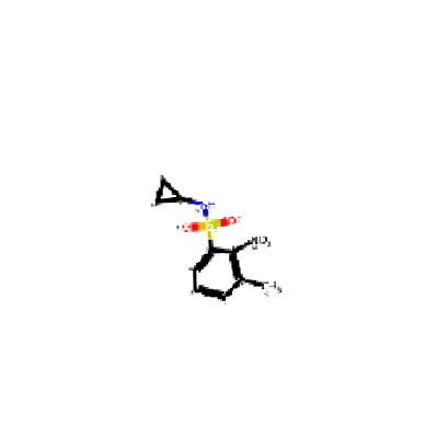 Cc1cccc(S(=O)(=O)NC2CC2)c1[N+](=O)[O-]